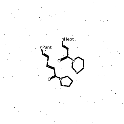 CCCCCC=CC=CC(=O)N1CCCC1.CCCCCCCC=CC(=O)N1CCCCC1